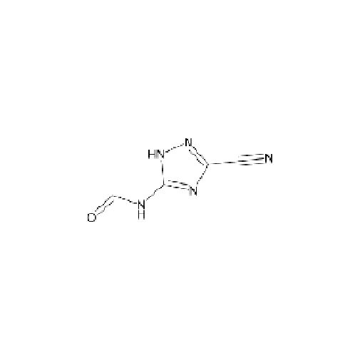 N#Cc1n[nH]c(NC=O)n1